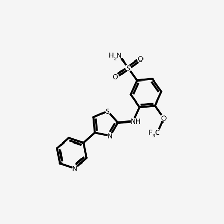 NS(=O)(=O)c1ccc(OC(F)(F)F)c(Nc2nc(-c3cccnc3)cs2)c1